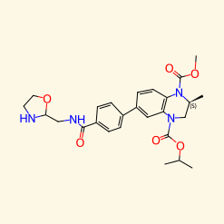 COC(=O)N1c2ccc(-c3ccc(C(=O)NCC4NCCO4)cc3)cc2N(C(=O)OC(C)C)C[C@@H]1C